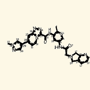 Cc1ncc(NC(=O)CN2Cc3cccnc3C2)cc1NC(=O)c1nnc2cc(-c3cnn(C)c3)ccn12